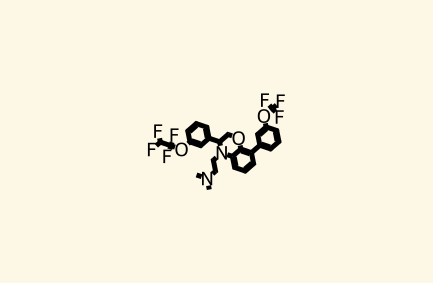 CN(C)CCN1c2cccc(-c3cccc(OC(F)(F)F)c3)c2OCC1c1cccc(OC(F)(F)C(F)F)c1